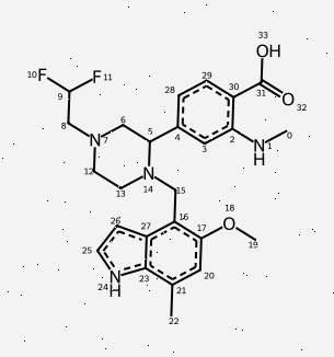 CNc1cc(C2CN(CC(F)F)CCN2Cc2c(OC)cc(C)c3[nH]ccc23)ccc1C(=O)O